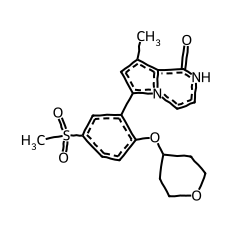 Cc1cc(-c2cc(S(C)(=O)=O)ccc2OC2CCOCC2)n2cc[nH]c(=O)c12